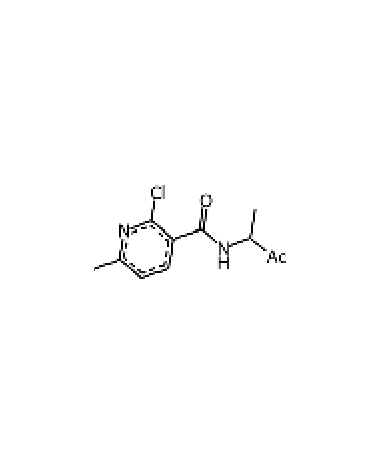 CC(=O)C(C)NC(=O)c1ccc(C)nc1Cl